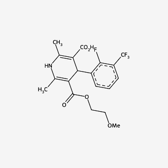 COCCOC(=O)C1=C(C)NC(C)=C(C(=O)O)C1c1cccc(C(F)(F)F)c1F